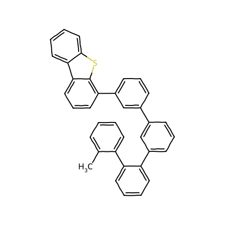 Cc1ccccc1-c1ccccc1-c1cccc(-c2cccc(-c3cccc4c3sc3ccccc34)c2)c1